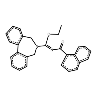 CCOC(=NC(=O)c1cccc2ccccc12)N1Cc2ccccc2-c2ccccc2C1